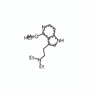 CCN(CC)CCc1c[nH]c2ccnc(OC)c12.Cl